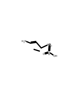 CC.NC=CCN.O=[SH](=O)O